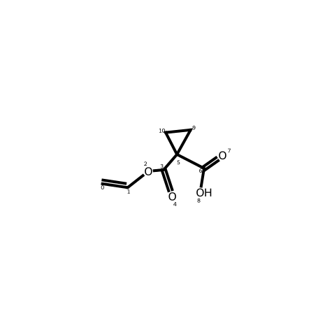 C=COC(=O)C1(C(=O)O)CC1